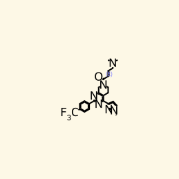 CN(C)C/C=C/C(=O)N1CCc2c(nc(-c3ccc(C(F)(F)F)cc3)nc2-c2ccn(C)n2)C1